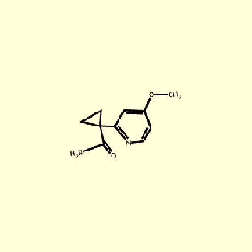 COc1ccnc(C2(C(N)=O)CC2)c1